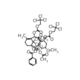 COC1C[C@H](OC(=O)OCC(Cl)(Cl)Cl)[C@@]2(C)C(=O)[C@H](OC(=O)OCC(Cl)(Cl)Cl)C3=C(C)CC[C@@](O)([C@@H](OC(=O)c4ccccc4)[C@@H]2[C@H]1OC(C)=O)C3(C)C